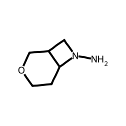 NN1CC2COCCC21